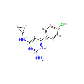 Nc1nc(NC2CC2)cc(-c2ccc(Cl)cc2)n1